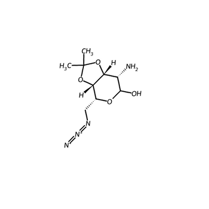 CC1(C)O[C@@H]2[C@H](O1)[C@H](N)C(O)O[C@@H]2CN=[N+]=[N-]